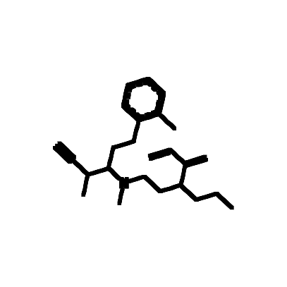 C#CC(C)C(CCc1ccccc1C)N(C)CCC(CCC)C(=C)C=C